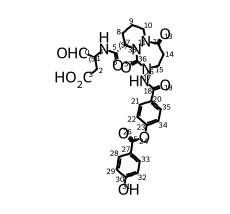 O=C[C@H](CC(=O)O)NC(=O)[C@@H]1CCCN2C(=O)CCN(NC(=O)c3ccc(OC(=O)c4ccc(O)cc4)cc3)C(=O)N12